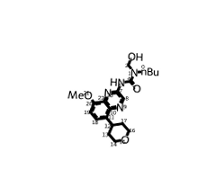 CCCCN(CO)C(=O)Nc1cnc2c(C3CCOCC3)ccc(OC)c2n1